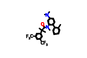 Cc1ccccc1-c1ccc(N(C)C)cc1N(C)C(=O)C(C)(C)c1cc(C(F)(F)F)cc(C(F)(F)F)c1